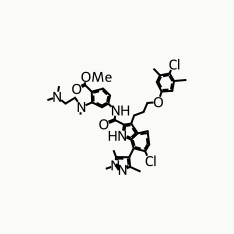 COC(=O)c1ccc(NC(=O)c2[nH]c3c(-c4c(C)nn(C)c4C)c(Cl)ccc3c2CCCOc2cc(C)c(Cl)c(C)c2)cc1N(C)CCN(C)C